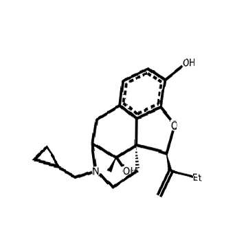 C=C(CC)[C@@H]1Oc2c(O)ccc3c2[C@@]12CCN(CC1CC1)C(C3)[C@@]2(C)O